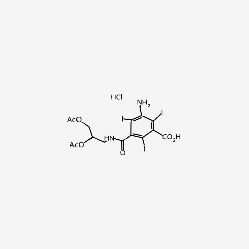 CC(=O)OCC(CNC(=O)c1c(I)c(N)c(I)c(C(=O)O)c1I)OC(C)=O.Cl